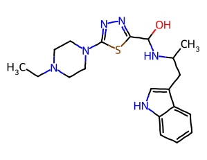 CCN1CCN(c2nnc(C(O)NC(C)Cc3c[nH]c4ccccc34)s2)CC1